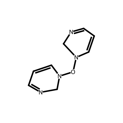 C1=CN(ON2C=CC=NC2)CN=C1